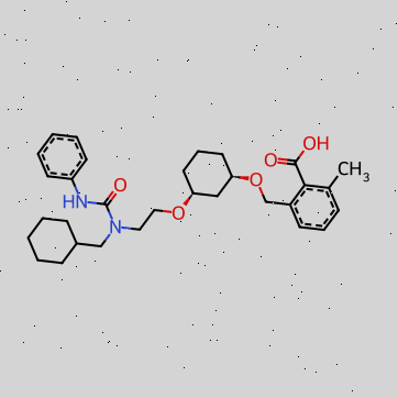 Cc1cccc(CO[C@@H]2CCC[C@H](OCCN(CC3CCCCC3)C(=O)Nc3ccccc3)C2)c1C(=O)O